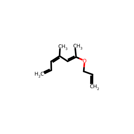 C=C/C=C(C)\C=C(/C)OCC=C